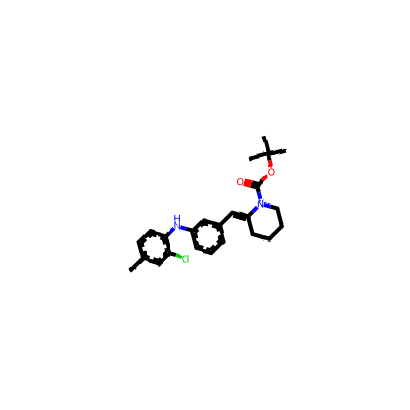 Cc1ccc(Nc2cccc(C=C3CCCCN3C(=O)OC(C)(C)C)c2)c(Cl)c1